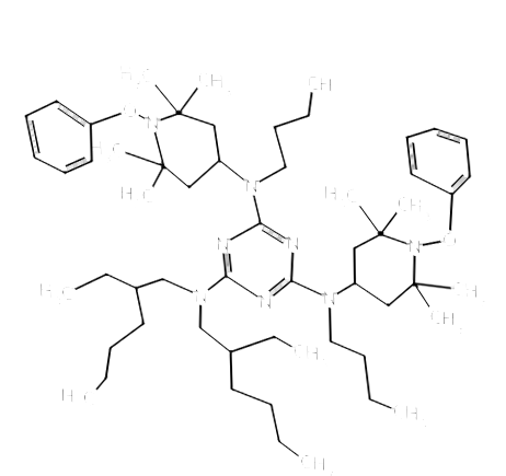 CCCCC(CC)CN(CC(CC)CCCC)c1nc(N(CCCC)C2CC(C)(C)N(Oc3ccccc3)C(C)(C)C2)nc(N(CCCC)C2CC(C)(C)N(Oc3ccccc3)C(C)(C)C2)n1